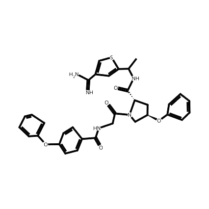 CC(NC(=O)[C@@H]1C[C@@H](Oc2ccccc2)CN1C(=O)CNC(=O)c1ccc(Oc2ccccc2)cc1)c1cc(C(=N)N)cs1